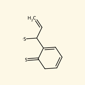 C=CC([S])C1=CC=CCC1=S